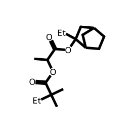 CCC(C)(C)C(=O)OC(C)C(=O)OC1(CC)CC2CCC1C2